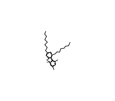 CCCCCCCCc1cc(CCCCCCCC)c2c(c1)sc1cc(C)cc(C)c12